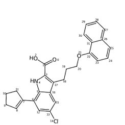 O=C(O)c1[nH]c2c(C3=CCCC3)cc(Cl)cc2c1CCCOc1cccc2ccccc12